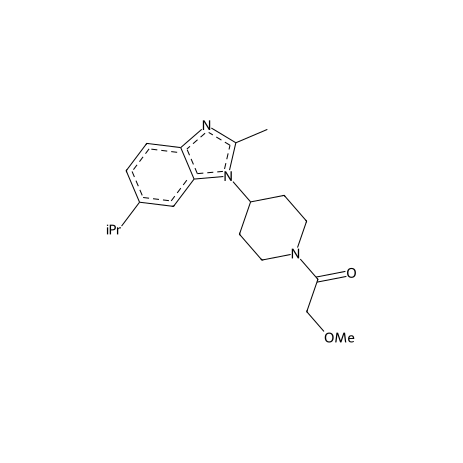 COCC(=O)N1CCC(n2c(C)nc3ccc(C(C)C)cc32)CC1